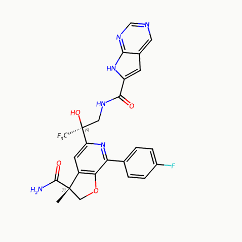 C[C@]1(C(N)=O)COc2c1cc([C@@](O)(CNC(=O)c1cc3cncnc3[nH]1)C(F)(F)F)nc2-c1ccc(F)cc1